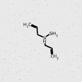 C=CC[SiH]([SiH3])CC=C